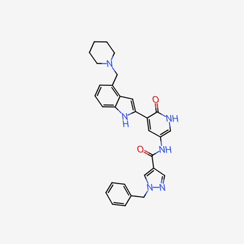 O=C(Nc1c[nH]c(=O)c(-c2cc3c(CN4CCCCC4)cccc3[nH]2)c1)c1cnn(Cc2ccccc2)c1